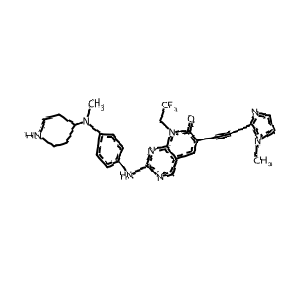 CN(c1ccc(Nc2ncc3cc(C#Cc4nccn4C)c(=O)n(CC(F)(F)F)c3n2)cc1)C1CCNCC1